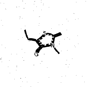 C=c1s/c(=C\C)c(=O)n1C